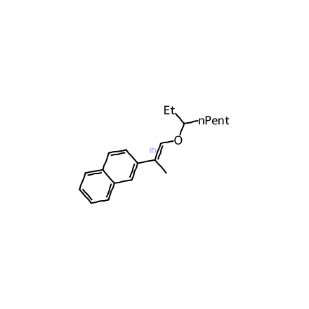 CCCCCC(CC)O/C=C(\C)c1ccc2ccccc2c1